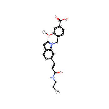 CCCNC(=O)/C=C/c1ccc2ccn(Cc3ccc(C(=O)O)cc3OC)c2c1